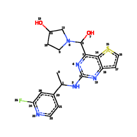 CC(Nc1nc(C(O)N2CCC(O)C2)c2sccc2n1)c1ccnc(F)c1